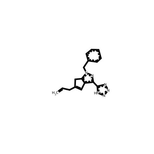 C=CCC1=Cc2c(-c3nnn[nH]3)nn(Cc3ccccc3)c2C1